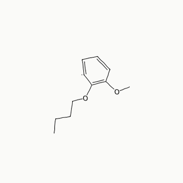 CCCCOc1[c]cccc1OC